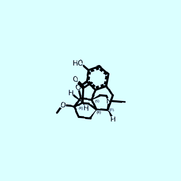 COC12CC[C@]3(C[C@H]1C(C)=O)[C@H]1Cc4ccc(O)c5c4[C@@]3(CCN1C)[C@H]2O5